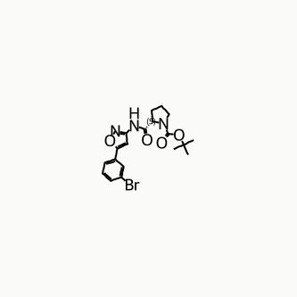 CC(C)(C)OC(=O)N1CCC[C@H]1C(=O)Nc1cc(-c2cccc(Br)c2)on1